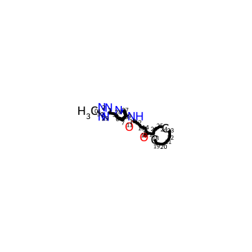 Cc1nnc(-c2ccc(NC(=O)CCCC(=O)C3CCCCCCCCC3)cn2)nn1